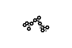 c1ccc(-n2c3ccc(-c4ccc5c6ccccc6n(-c6ccc(-c7nc8c9c(cccc9n7)Sc7ccccc7-8)cc6)c5c4)cc3c3ccc4ccccc4c32)cc1